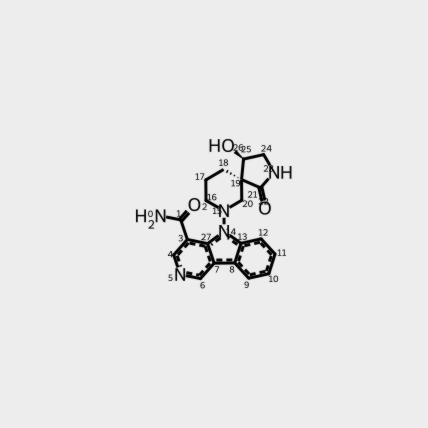 NC(=O)c1cncc2c3ccccc3n(N3CCC[C@@]4(C3)C(=O)NC[C@@H]4O)c12